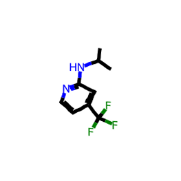 CC(C)Nc1cc(C(F)(F)F)ccn1